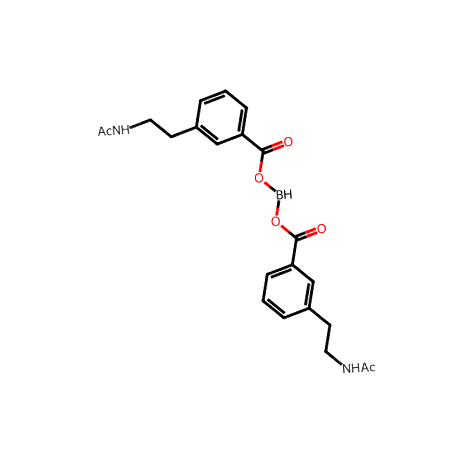 CC(=O)NCCc1cccc(C(=O)OBOC(=O)c2cccc(CCNC(C)=O)c2)c1